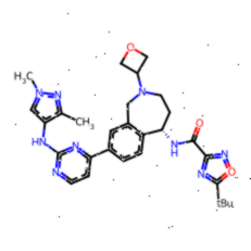 Cc1nn(C)cc1Nc1nccc(-c2ccc3c(c2)CN(C2COC2)CC[C@@H]3NC(=O)c2noc(C(C)(C)C)n2)n1